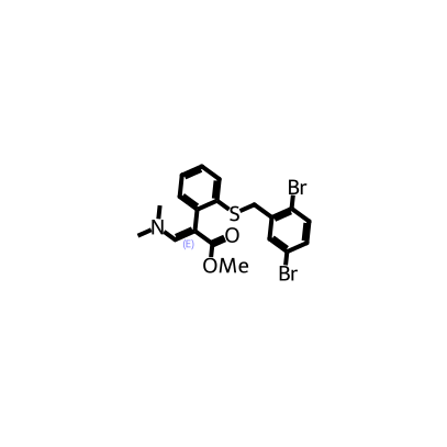 COC(=O)/C(=C/N(C)C)c1ccccc1SCc1cc(Br)ccc1Br